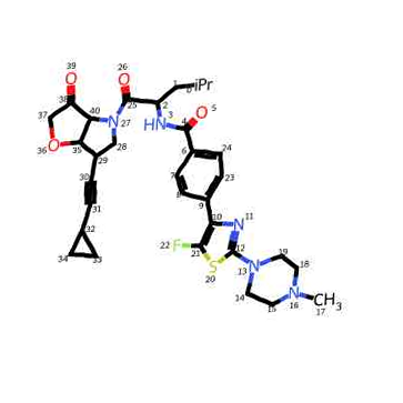 CC(C)CC(NC(=O)c1ccc(-c2nc(N3CCN(C)CC3)sc2F)cc1)C(=O)N1CC(C#CC2CC2)C2OCC(=O)C21